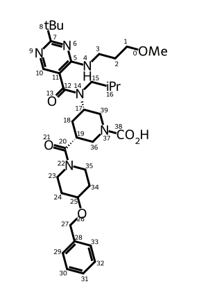 COCCCNc1nc(C(C)(C)C)ncc1C(=O)N(CC(C)C)[C@H]1C[C@@H](C(=O)N2CCC(OCc3ccccc3)CC2)CN(C(=O)O)C1